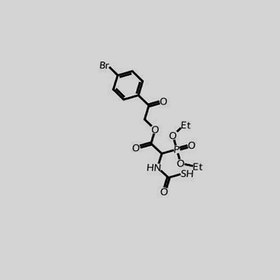 CCOP(=O)(OCC)C(NC(=O)S)C(=O)OCC(=O)c1ccc(Br)cc1